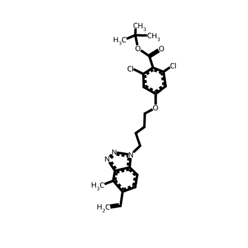 C=Cc1ccc2c(nnn2CCCCOc2cc(Cl)c(C(=O)OC(C)(C)C)c(Cl)c2)c1C